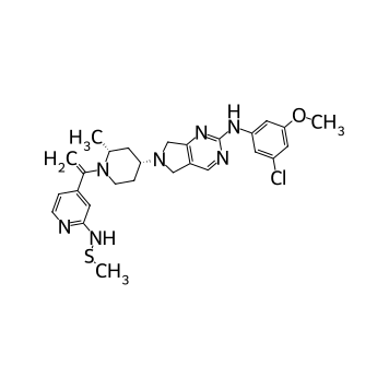 C=C(c1ccnc(NSC)c1)N1CC[C@@H](N2Cc3cnc(Nc4cc(Cl)cc(OC)c4)nc3C2)C[C@H]1C